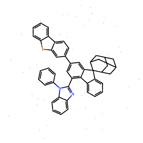 c1ccc(-n2c(-c3cc(-c4ccc5c(c4)sc4ccccc45)cc4c3-c3ccccc3C43C4CC5CC(C4)CC3C5)nc3ccccc32)cc1